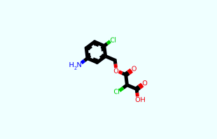 Nc1ccc(Cl)c(COC(=O)C(Cl)C(=O)O)c1